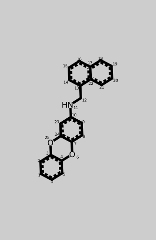 c1ccc2c(c1)Oc1ccc(NCc3cccc4ccccc34)cc1O2